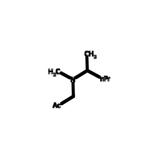 CCCC(C)N(C)CC(C)=O